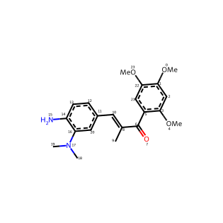 COc1cc(OC)c(C(=O)C(C)=Cc2ccc(N)c(N(C)C)c2)cc1OC